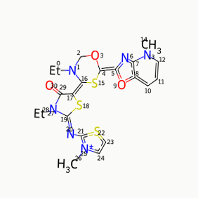 CCN1CO/C(=c2\nc3c(o2)=CC=CN3C)S/C1=C1\S/C(=N\c2scc[n+]2C)N(CC)C1=O